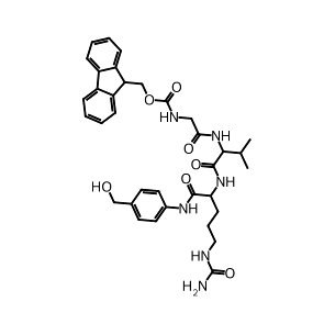 CC(C)C(NC(=O)CNC(=O)OCC1c2ccccc2-c2ccccc21)C(=O)NC(CCCNC(N)=O)C(=O)Nc1ccc(CO)cc1